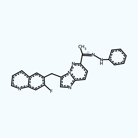 C/C(=N/Nc1ccccc1)c1ccc2ncc(Cc3cc4cccnc4cc3F)n2n1